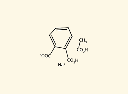 CC(=O)O.O=C([O-])c1ccccc1C(=O)O.[Na+]